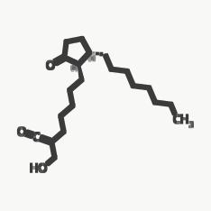 CCCCCCCC[C@H]1CCC(=O)[C@@H]1CCCCCC(=C=O)CO